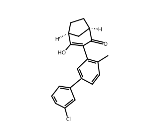 Cc1ccc(-c2cccc(Cl)c2)cc1C1=C(O)[C@H]2CC[C@H](C2)C1=O